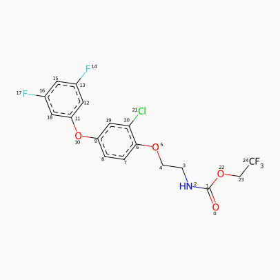 O=C(NCCOc1ccc(Oc2cc(F)cc(F)c2)cc1Cl)OCC(F)(F)F